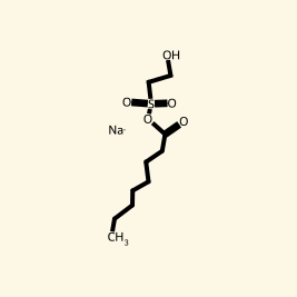 CCCCCCCC(=O)OS(=O)(=O)CCO.[Na]